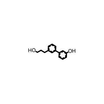 OCCCc1cccc(-c2cccc(O)c2)c1